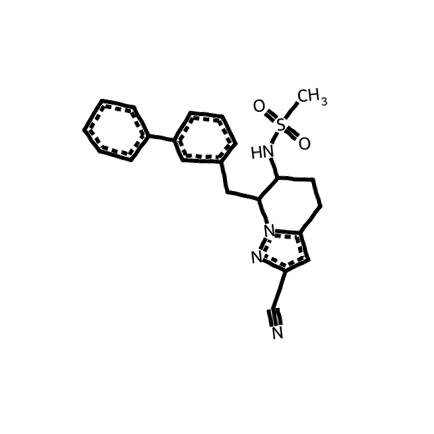 CS(=O)(=O)NC1CCc2cc(C#N)nn2C1Cc1cccc(-c2ccccc2)c1